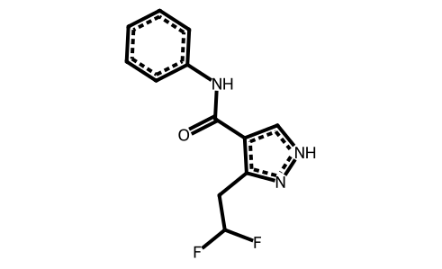 O=C(Nc1ccccc1)c1c[nH]nc1CC(F)F